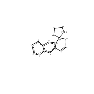 C1=Cc2cc3ccccc3cc2C2(C1)CCCN2